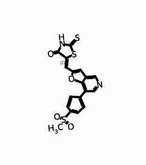 CS(=O)(=O)c1ccc(-c2cncc3cc(/C=C4\SC(=S)NC4=O)oc23)cc1